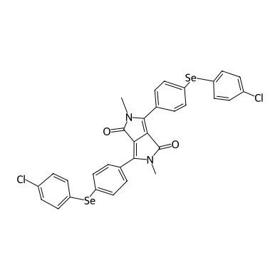 CN1C(=O)C2=C(c3ccc([Se]c4ccc(Cl)cc4)cc3)N(C)C(=O)C2=C1c1ccc([Se]c2ccc(Cl)cc2)cc1